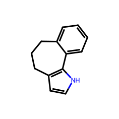 c1ccc2c(c1)CCCc1cc[nH]c1-2